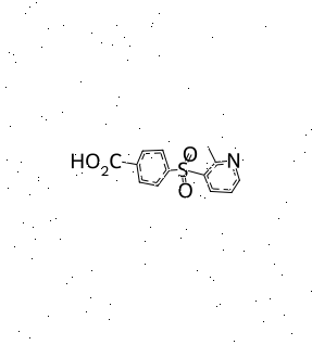 Cc1ncccc1S(=O)(=O)c1ccc(C(=O)O)cc1